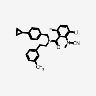 CN(C#N)c1c(Cl)ccc(F)c1C(=O)N(CCc1cccc(C(F)(F)F)c1)Cc1ccc(C2CC2)cc1